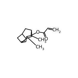 C=CC(=O)OC1(C)C(C)C=C2CC3CC1CC23